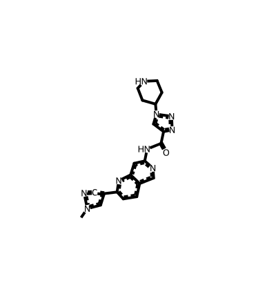 Cn1cc(-c2ccc3cnc(NC(=O)c4cn(C5CCNCC5)nn4)cc3n2)cn1